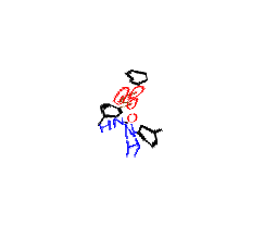 Cc1cccc(NC(=O)Nc2cc(S(=O)(=O)Oc3ccccc3)ccc2C)c1